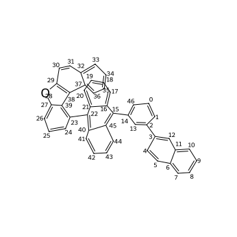 c1cc(-c2ccc3ccccc3c2)cc(-c2c3ccccc3c(-c3cccc4oc5ccc6ccccc6c5c34)c3ccccc23)c1